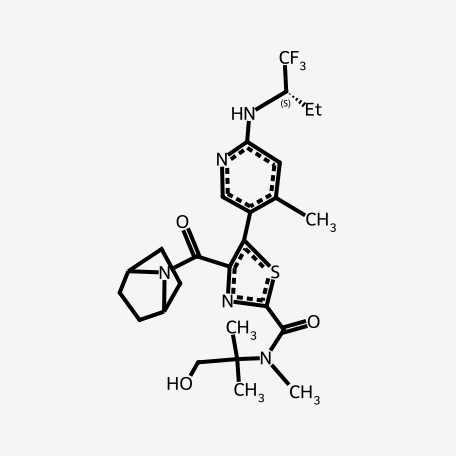 CC[C@H](Nc1cc(C)c(-c2sc(C(=O)N(C)C(C)(C)CO)nc2C(=O)N2C3CCC2CC3)cn1)C(F)(F)F